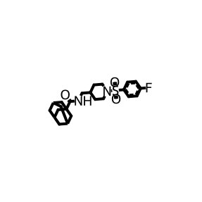 O=C(NCC1CCN(S(=O)(=O)c2ccc(F)cc2)CC1)C12CC3CC(CC(C3)C1)C2